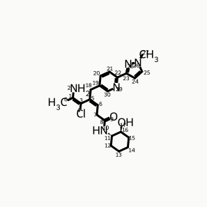 C/C(N)=C(Cl)/C(=C\CC(=O)N[C@H]1CCCC[C@@H]1O)Cc1ccc(-c2ccn(C)n2)nc1